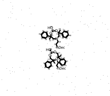 CCCCCCCCCCCCN1C(C)(c2ccccc2)COB(O)OCC1(C)c1ccccc1.CCCCCCCCCCCCN1CC(C)(c2ccccc2)OB(O)OC(C)(c2ccccc2)C1